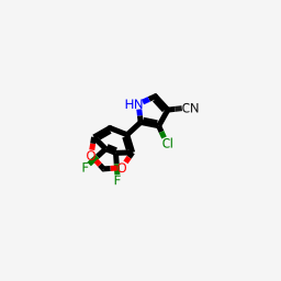 N#Cc1c[nH]c(-c2cc3c(F)c(F)c2OCO3)c1Cl